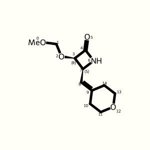 COCO[C@H]1C(=O)N[C@H]1C=C1CCOCC1